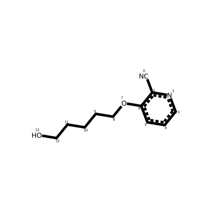 N#Cc1ncccc1OCCCCCO